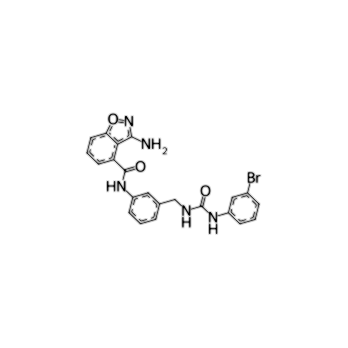 Nc1noc2cccc(C(=O)Nc3cccc(CNC(=O)Nc4cccc(Br)c4)c3)c12